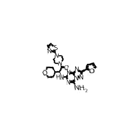 Nc1nc(N[C@H](C(=O)N2CCN(c3nccs3)CC2)C2CCOCC2)nc2nc(-c3ccco3)nn12